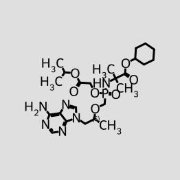 CC(C)OC(=O)COP(=O)(CO[C@@H](C)Cn1cnc2c(N)ncnc21)NC(C)(C)C(=O)OC1CCCCC1